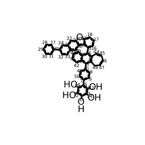 Oc1c(O)c(O)c(-c2ccc(-c3c4c(c(-c5cccc6oc7cc8cc(-c9ccccc9)ccc8cc7c56)c5ccccc35)C=CC=CC4)cc2)c(O)c1O